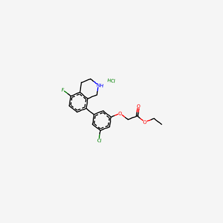 CCOC(=O)COc1cc(Cl)cc(-c2ccc(F)c3c2CNCC3)c1.Cl